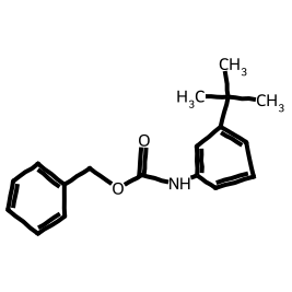 CC(C)(C)c1cccc(NC(=O)OCc2ccccc2)c1